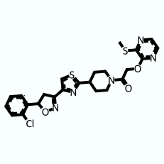 CSc1nccnc1OCC(=O)N1CCC(c2nc(C3=NOC(c4[c]cccc4Cl)C3)cs2)CC1